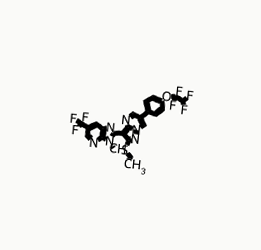 CCSc1nn2cc(-c3ccc(OC(F)(F)C(F)F)cc3)cnc2c1-c1nc2cc(C(F)(F)F)cnc2n1C